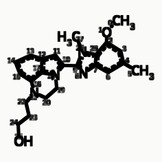 COc1cc(C)cc2nc(-c3cc4cccc5c4n3CCN5CCCO)n(C)c12